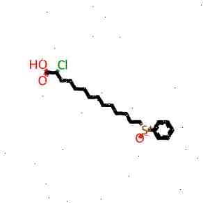 O=C(O)C(Cl)CCCCCCCCCCCC[S+]([O-])c1ccccc1